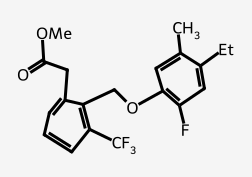 CCc1cc(F)c(OCc2c(CC(=O)OC)cccc2C(F)(F)F)cc1C